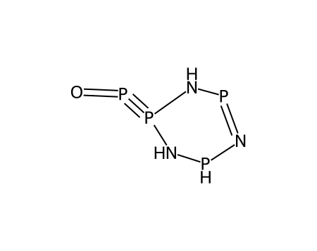 O=P#P1NP=NPN1